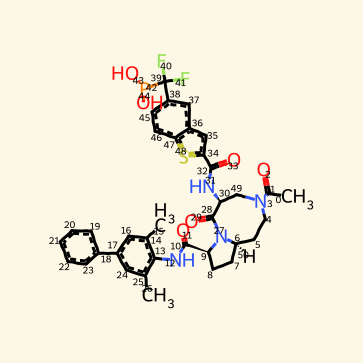 CC(=O)N1CC[C@H]2CC[C@@H](C(=O)Nc3c(C)cc(-c4ccccc4)cc3C)N2C(=O)[C@@H](NC(=O)c2cc3cc(C(F)(F)P(O)O)ccc3s2)C1